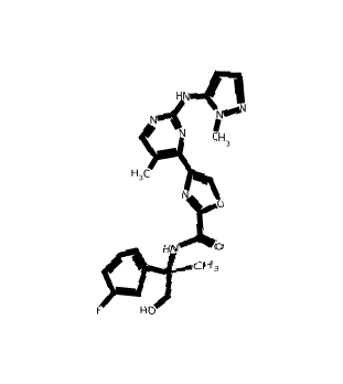 Cc1cnc(Nc2ccnn2C)nc1-c1coc(C(=O)N[C@](C)(CO)c2cccc(F)c2)n1